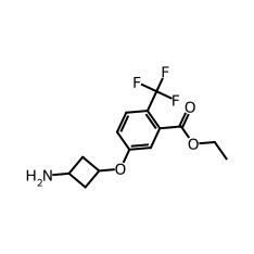 CCOC(=O)c1cc(OC2CC(N)C2)ccc1C(F)(F)F